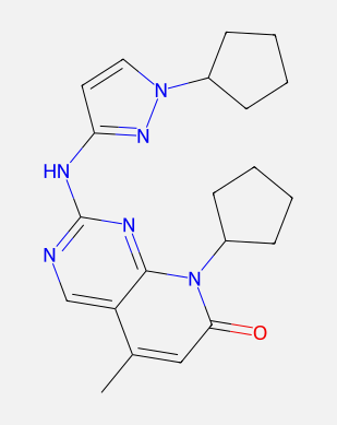 Cc1cc(=O)n(C2CCCC2)c2nc(Nc3ccn(C4CCCC4)n3)ncc12